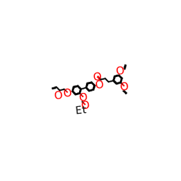 C=COc1cc(CCC(=O)Oc2ccc(-c3ccc(OCC(=O)C=C)cc3OCOCC)cc2)cc(OC=C)c1